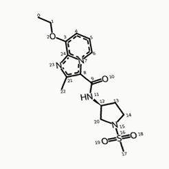 CCOc1cccn2c(C(=O)N[C@H]3CCN(S(C)(=O)=O)C3)c(C)nc12